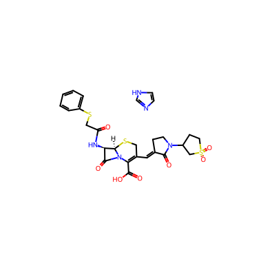 O=C(CSc1ccccc1)N[C@@H]1C(=O)N2C(C(=O)O)=C(/C=C3\CCN(C4CCS(=O)(=O)C4)C3=O)CS[C@H]12.c1c[nH]cn1